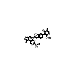 CCN(CC)c1ncc(-c2c(C)noc2C)c(N[C@@H](Cc2ccc(-c3c(OC)ncn(C)c3=O)cc2)C(=O)O)n1